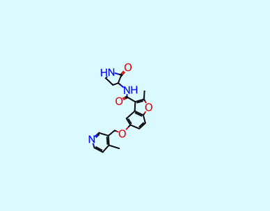 Cc1ccncc1COc1ccc2oc(C)c(C(=O)NC3CCNC3=O)c2c1